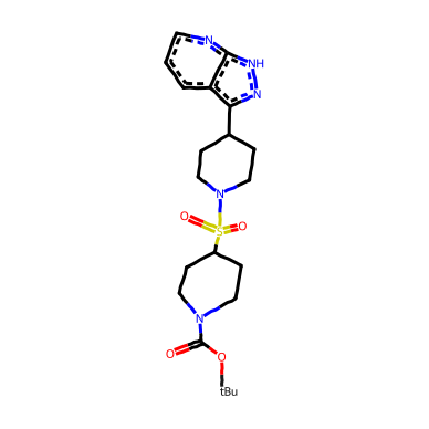 CC(C)(C)OC(=O)N1CCC(S(=O)(=O)N2CCC(c3n[nH]c4ncccc34)CC2)CC1